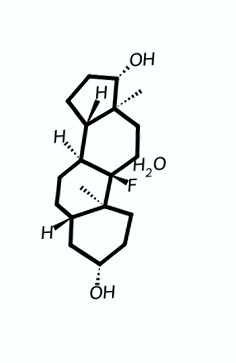 C[C@]12CC[C@@]3(F)[C@@H](CC[C@H]4C[C@@H](O)CC[C@@]43C)[C@@H]1CC[C@@H]2O.O